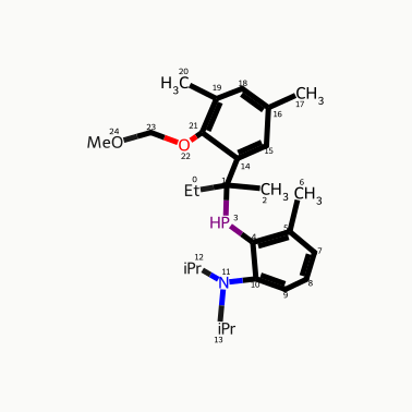 CCC(C)(Pc1c(C)cccc1N(C(C)C)C(C)C)c1cc(C)cc(C)c1OCOC